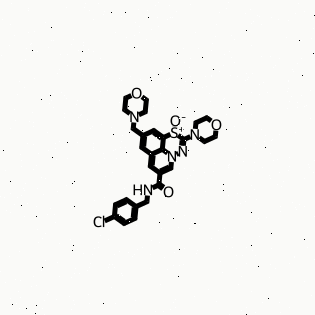 O=C(NCc1ccc(Cl)cc1)C1=CN2N=C(N3CCOCC3)[S+]([O-])C3=CC(CN4CCOCC4)=CC(=C1)C32